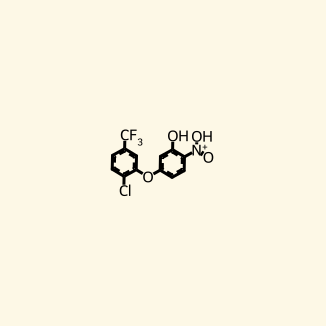 O=[N+](O)c1ccc(Oc2cc(C(F)(F)F)ccc2Cl)cc1O